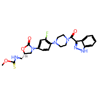 COC(=S)NC[C@H]1CN(c2ccc(N3CCN(C(=O)c4n[nH]c5ccccc45)CC3)c(F)c2)C(=O)O1